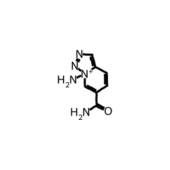 NC(=O)C1=C[N+]2(N)N=NC=C2C=C1